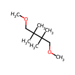 COCC(C)(C)C(C)(C)COC